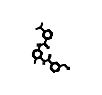 Cc1ccc(NC(=O)c2cccc(N(C)C)c2)cc1NC(=O)c1cccc(CCl)c1